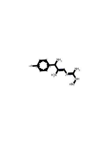 CCCCN/C(N)=N/C=C(\N)C(N)c1ccc(F)cc1